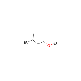 CCOCCC(C)CC